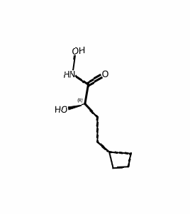 O=C(NO)[C@H](O)CCC1CCC1